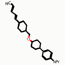 CCCc1ccc(C2CCC(OCC3CCC(C=CC=CC#N)CC3)CC2)cc1